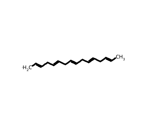 [CH2]C=CCC=CCC=CCC=CCC=CC